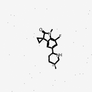 C[C@H]1CCC(c2cc(F)c3c(c2)C2(CC2)C(=O)N3C)NC1